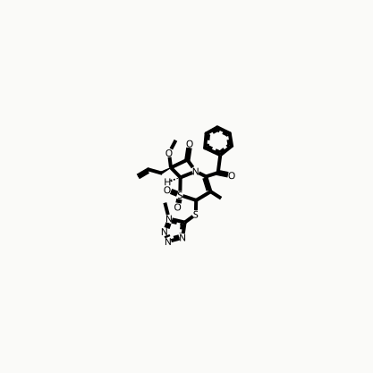 C=CC[C@@]1(OC)C(=O)N2C(C(=O)c3ccccc3)=C(C)C(Sc3nnnn3C)S(=O)(=O)[C@H]21